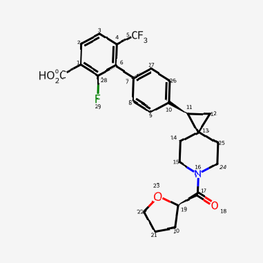 O=C(O)c1ccc(C(F)(F)F)c(-c2ccc([C@H]3CC34CCN(C(=O)[C@H]3CCCO3)CC4)cc2)c1F